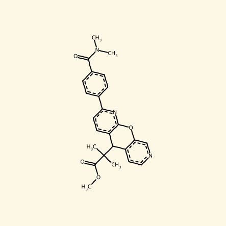 COC(=O)C(C)(C)C1c2ccncc2Oc2nc(-c3ccc(C(=O)N(C)C)cc3)ccc21